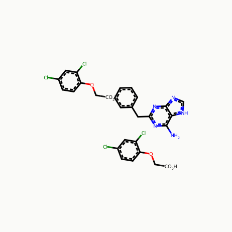 Nc1nc(Cc2ccccc2)nc2nc[nH]c12.O=C(O)COc1ccc(Cl)cc1Cl.O=C(O)COc1ccc(Cl)cc1Cl